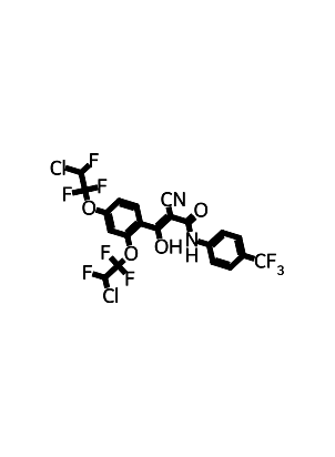 N#CC(C(=O)Nc1ccc(C(F)(F)F)cc1)=C(O)c1ccc(OC(F)(F)C(F)Cl)cc1OC(F)(F)C(F)Cl